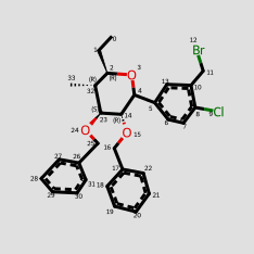 CC[C@H]1OC(c2ccc(Cl)c(CBr)c2)[C@H](OCc2ccccc2)[C@@H](OCc2ccccc2)[C@@H]1C